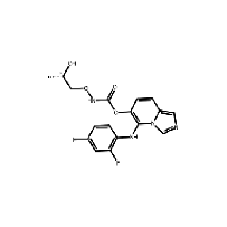 C[C@H](O)CONC(=O)Oc1ccc2cncn2c1Nc1ccc(I)cc1F